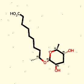 C[C@H](CCCCCCCC(=O)O)O[C@@H]1O[C@@H](C)[C@H](O)C[C@H]1O